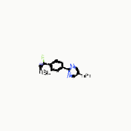 CCCC/C=C(/F)c1ccc(-c2ncc(CCC)cn2)cc1